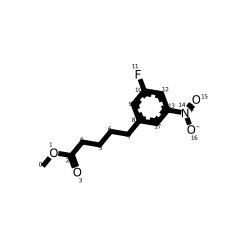 COC(=O)CCCCc1cc(F)cc([N+](=O)[O-])c1